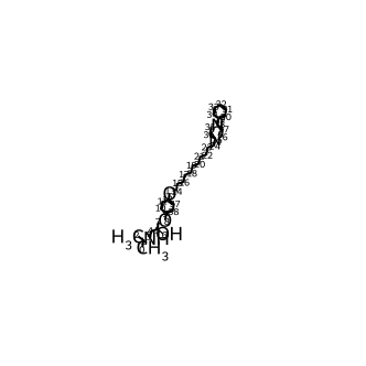 CC(C)NC[C@H](O)COc1ccc(OCCCCCCCCCCCN2CCN(c3ccccc3)CC2)cc1